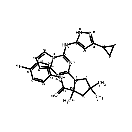 CC1(C)CN(c2nc(Nc3cc(C4CC4)n[nH]3)n3cccc3n2)C(C)(C(=O)Nc2ccc(F)nc2)C1